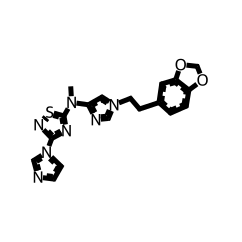 CN(c1cn(CCc2ccc3c(c2)OCO3)cn1)c1nc(-n2ccnc2)ns1